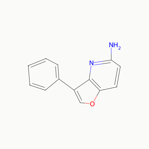 Nc1ccc2occ(-c3ccccc3)c2n1